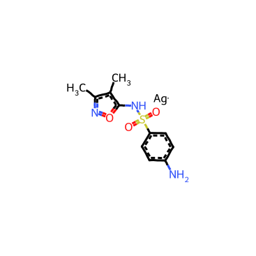 Cc1noc(NS(=O)(=O)c2ccc(N)cc2)c1C.[Ag]